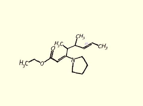 C/C=C/C(C)C(C)C(=CC(=O)OCC)N1CCCC1